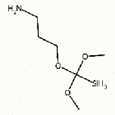 COC([SiH3])(OC)OCCCN